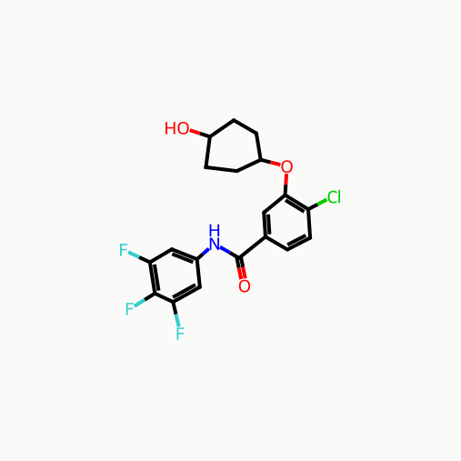 O=C(Nc1cc(F)c(F)c(F)c1)c1ccc(Cl)c(OC2CCC(O)CC2)c1